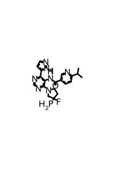 CC(C)c1ccc(C(=O)Nc2c(-c3ccnn3I)ncnc2N2CCC(F)(P)C2)cn1